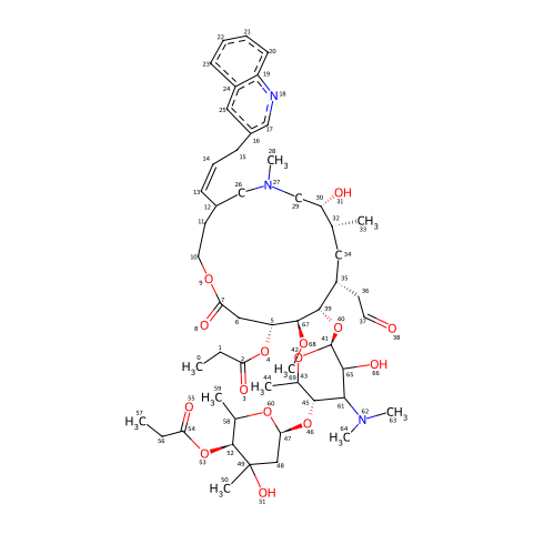 CCC(=O)O[C@@H]1CC(=O)OCCC(/C=C\Cc2cnc3ccccc3c2)CN(C)C[C@H](O)[C@H](C)C[C@H](CC=O)[C@H](O[C@@H]2OC(C)[C@@H](O[C@H]3CC(C)(O)[C@@H](OC(=O)CC)C(C)O3)C(N(C)C)C2O)[C@H]1OC